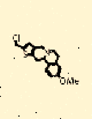 COc1ccc2c(c1)CCN1Cc3cc(CCl)sc3CC21